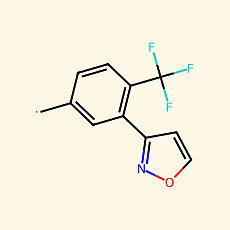 [CH2]c1ccc(C(F)(F)F)c(-c2ccon2)c1